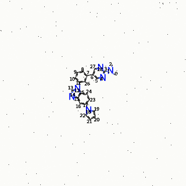 CN(C)c1ncc(-c2cccc(-n3cnc4cc(-n5cccc5)ccc43)c2)cn1